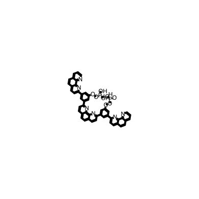 O=[PH](O)OOc1cc(-c2ccc3ccc4cccnc4c3n2)cc(-c2ccc3ccc4ccc(-c5cc(OOP(O)O)cc(-c6ccc7ccc8cccnc8c7n6)c5)nc4c3n2)c1